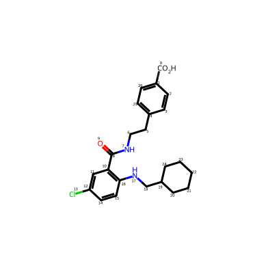 O=C(O)c1ccc(CCNC(=O)c2cc(Cl)ccc2NCC2CCCCC2)cc1